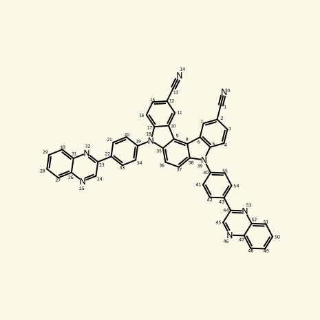 N#Cc1ccc2c(c1)c1c3c4cc(C#N)ccc4n(-c4ccc(-c5cnc6ccccc6n5)cc4)c3ccc1n2-c1ccc(-c2cnc3ccccc3n2)cc1